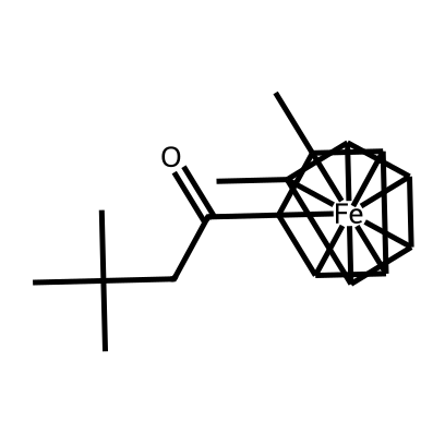 CC(C)(C)CC(=O)[C]12[CH]3[CH]4[CH]5[C]1(C)[Fe]45321678[CH]2[CH]1[CH]6[C]7(C)[CH]28